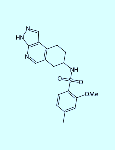 COc1cc(C)ccc1S(=O)(=O)NC1CCc2c(cnc3[nH]ncc23)C1